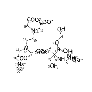 NC(CO)(CO)B(O)OCO.O=C([O-])CN(CCN(CC(=O)[O-])CC(=O)[O-])CC(=O)[O-].[Na+].[Na+].[Na+].[Na+]